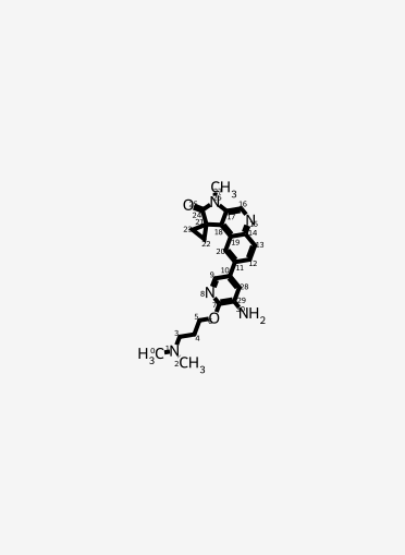 CN(C)CCCOc1ncc(-c2ccc3ncc4c(c3c2)C2(CC2)C(=O)N4C)cc1N